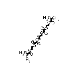 C=C(C)C(=O)OCCOC(=O)C(=O)OCCCOC(=O)C(=O)OCCOC(=O)C(=C)C